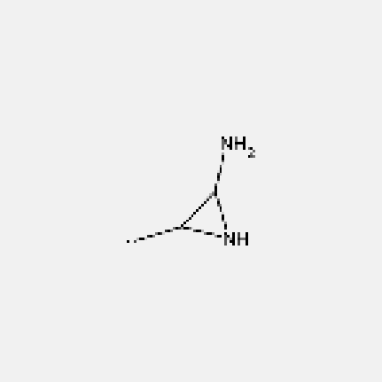 [CH2]C1NC1N